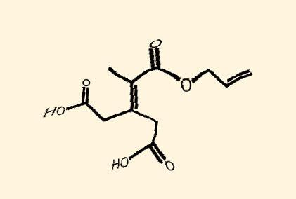 C=CCOC(=O)C(C)=C(CC(=O)O)CC(=O)O